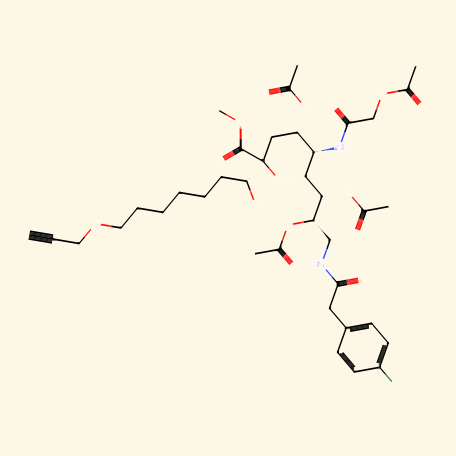 C#CCOCCCCCCC(O)[C@]1(C(=O)OC)C[C@H](OC(C)=O)[C@@H](NC(=O)COC(C)=O)[C@H]([C@H](OC(C)=O)[C@@H](CNC(=O)Cc2ccc(Cl)cc2)OC(C)=O)O1